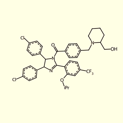 CC(C)Oc1cc(C(F)(F)F)ccc1C1=NC(c2ccc(Cl)cc2)C(c2ccc(Cl)cc2)N1C(=O)c1ccc(CN2CCCCC2CO)cc1